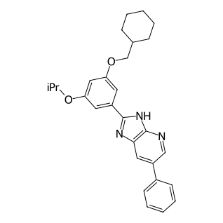 CC(C)Oc1cc(OCC2CCCCC2)cc(-c2nc3cc(-c4ccccc4)cnc3[nH]2)c1